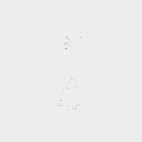 Cc1c(OCC2CC3(CCN(CCOc4ccc5c(C6CCC(=O)NC6=O)nn(C)c5c4)CC3)C2)cccc1-c1ccc(N2CCc3cccc(C(=O)Nc4nc5ccccc5s4)c3C2)nc1C(=O)OC(C)(C)C